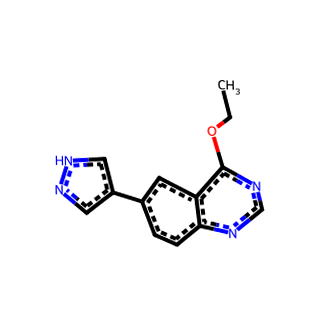 CCOc1ncnc2ccc(-c3cn[nH]c3)cc12